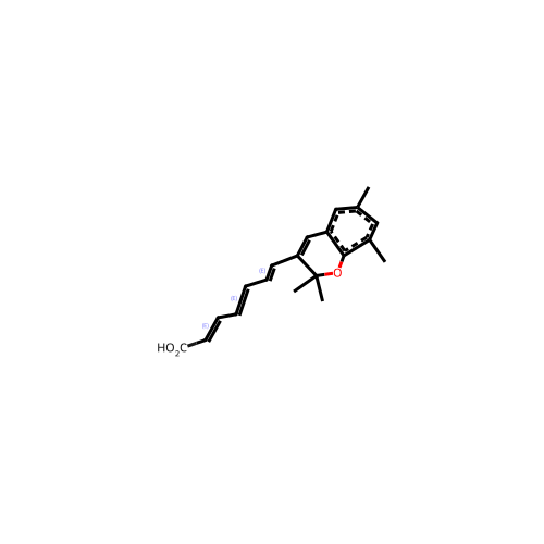 Cc1cc(C)c2c(c1)C=C(/C=C/C=C/C=C/C(=O)O)C(C)(C)O2